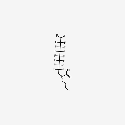 CCCCN(CC(F)(F)C(F)(F)C(F)(F)C(F)(F)C(F)(F)C(F)(F)C(F)(F)C(F)F)C(=O)O